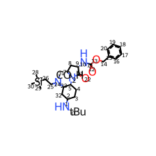 CC(C)(C)NC1CC[C@H](N2CC[C@H](NC(=O)OCc3ccccc3)C2=O)[C@H](N(CC[Si](C)(C)C)C(=O)O)C1